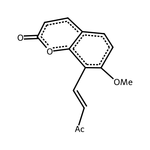 COc1ccc2ccc(=O)oc2c1/C=C/C(C)=O